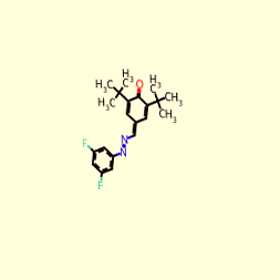 CC(C)(C)C1=CC(=CN=Nc2cc(F)cc(F)c2)C=C(C(C)(C)C)C1=O